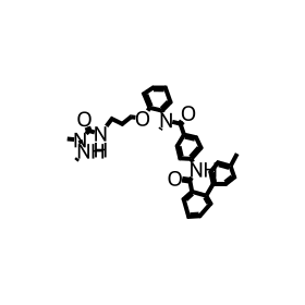 CNN(C)C(=O)NCCCOc1ccccc1N(C)C(=O)c1ccc(NC(=O)c2ccccc2-c2ccc(C)cc2)cc1